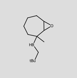 CC(C)(C)CBC1(C)CCCCC2OC21